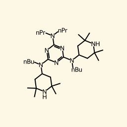 CCCCN(c1nc(N(CCC)CCC)nc(N(CCCC)C2CC(C)(C)NC(C)(C)C2)n1)C1CC(C)(C)NC(C)(C)C1